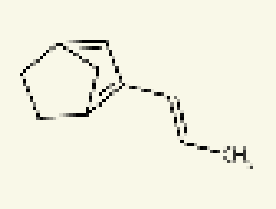 CC=CC1=C2CCC(=C1)C2